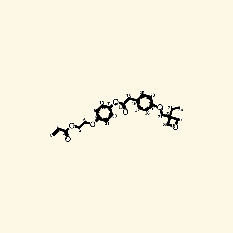 C=CC(=O)OCCOc1ccc(OC(=O)Cc2ccc(OCC3(CC)COC3)cc2)cc1